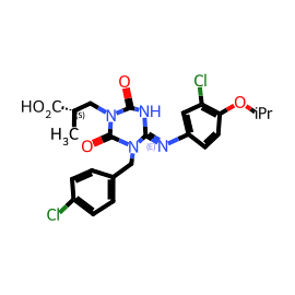 CC(C)Oc1ccc(/N=c2\[nH]c(=O)n(C[C@H](C)C(=O)O)c(=O)n2Cc2ccc(Cl)cc2)cc1Cl